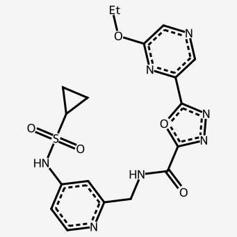 CCOc1cncc(-c2nnc(C(=O)NCc3cc(NS(=O)(=O)C4CC4)ccn3)o2)n1